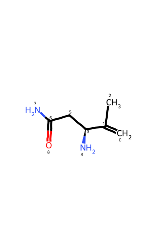 C=C(C)[C@@H](N)CC(N)=O